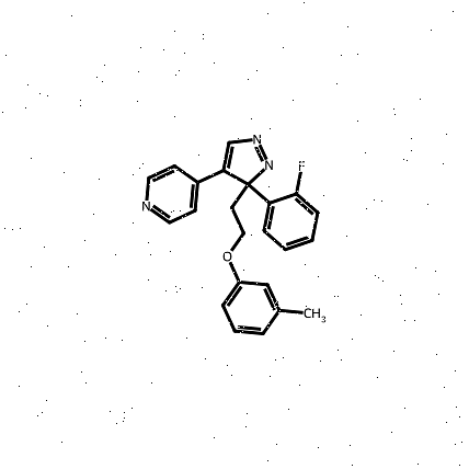 Cc1cccc(OCCC2(c3ccccc3F)N=NC=C2c2ccncc2)c1